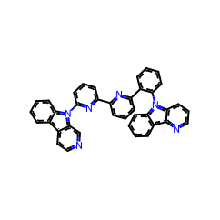 c1cc(-c2cccc(-n3c4ccccc4c4ccncc43)n2)nc(-c2ccccc2-n2c3ccccc3c3ncccc32)c1